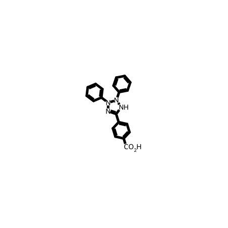 O=C(O)c1ccc(C2=NN(c3ccccc3)N(c3ccccc3)N2)cc1